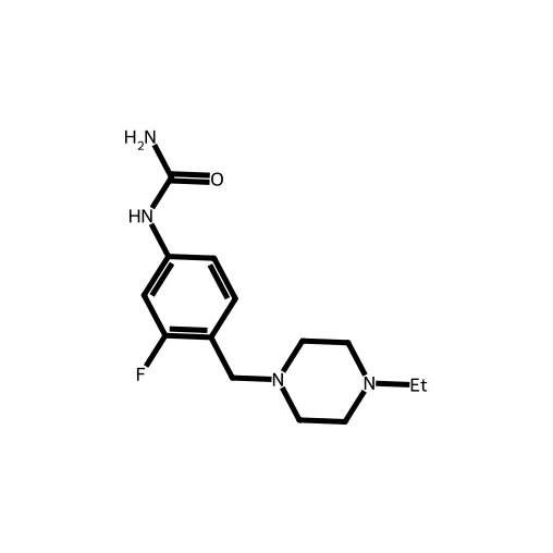 CCN1CCN(Cc2ccc(NC(N)=O)cc2F)CC1